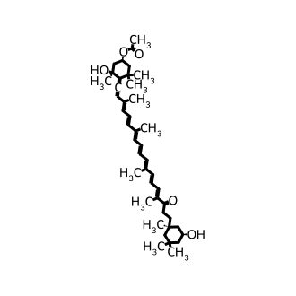 CC(=O)O[C@H]1CC(C)(C)C(=C=C/C(C)=C/C=C/C(C)=C/C=C/C=C(C)/C=C/C=C(\C)C(=O)CC[C@@]2(C)C[C@@H](O)CC(C)(C)C2)[C@](C)(O)C1